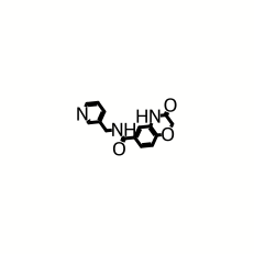 O=C1COc2ccc(C(=O)NCc3cccnc3)cc2N1